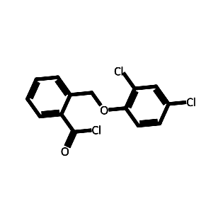 O=C(Cl)c1ccccc1COc1ccc(Cl)cc1Cl